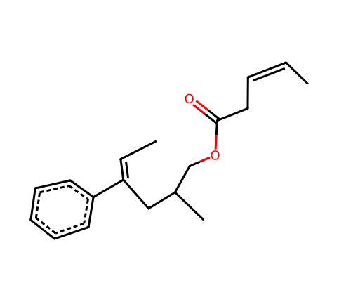 CC=C(CC(C)COC(=O)C/C=C\C)c1ccccc1